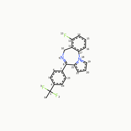 CC(F)(F)c1ccc(C2=NCc3c(F)cccc3-n3cccc32)cc1